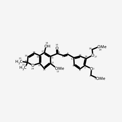 COCOc1ccc(C=CC(=O)c2c(OC)cc3c(c2O)C=CC(C)(C)O3)cc1OCOC